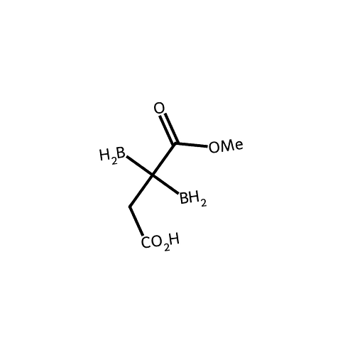 BC(B)(CC(=O)O)C(=O)OC